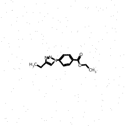 CCOC(=O)c1ccc(-n2cc(CC)nn2)cc1